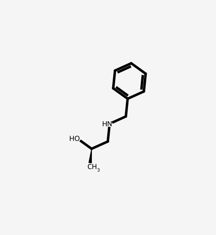 C[C@@H](O)CNCc1ccccc1